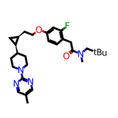 Cc1cnc(N2CCC([C@H]3C[C@H]3CCOc3ccc(CC(=O)N(C)CC(C)(C)C)c(F)c3)CC2)nc1